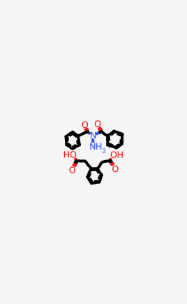 NN(C(=O)c1ccccc1)C(=O)c1ccccc1.O=C(O)Cc1ccccc1CC(=O)O